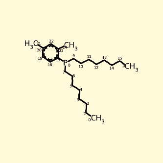 CCCCCCCCP(CCCCCCCC)c1ccc(C)cc1C